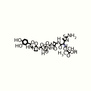 CC(C)(O/N=C(\C(=O)NC1CN(C(=O)NS(=O)(=O)NC(=O)N2CCN(NC(=O)c3ccc(O)c(O)c3)C2=O)C1=O)c1csc(N)n1)C(=O)O